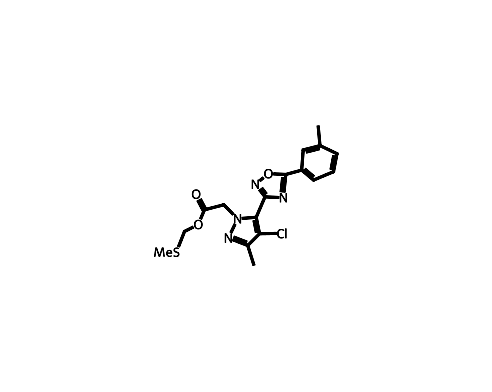 CSCOC(=O)Cn1nc(C)c(Cl)c1-c1noc(-c2cccc(C)c2)n1